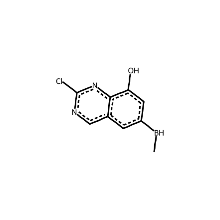 CBc1cc(O)c2nc(Cl)ncc2c1